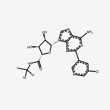 [2H]C([2H])([2H])NC(=O)[C@H]1O[C@@H](n2cnc3c(N)nc(-c4cncc(Cl)c4)nc32)[C@H](O)[C@@H]1O